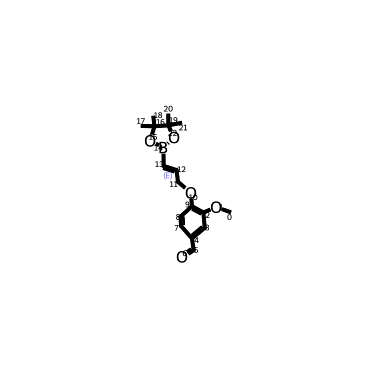 COc1cc(C=O)ccc1OC/C=C/B1OC(C)(C)C(C)(C)O1